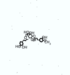 COc1ccc(/C=C/C(=O)O[C@@H]2C[C@@](O)(C(=O)O)C[C@@H](CC(=O)/C=C/c3ccc(O)c(O)c3)[C@@H]2O)cc1O